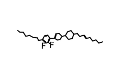 CCCCC/C=C/CCC1CCC(C2CC=C(c3ccc(CCCCCCCC)c(F)c3F)CC2)CC1